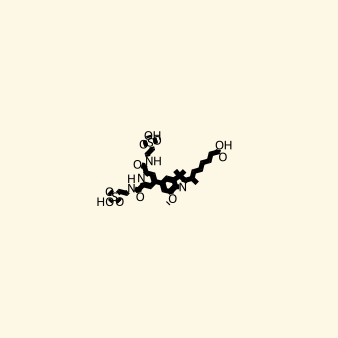 COc1cc(-c2cc(C(=O)NCCS(=O)(=O)O)nc(C(=O)NCCS(=O)(=O)O)c2)cc2c1N=C(C(C)CCCCCC(=O)O)C2(C)C